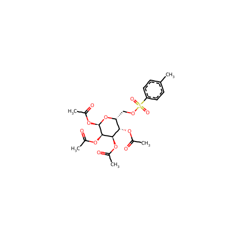 CC(=O)O[C@H]1O[C@H](COS(=O)(=O)c2ccc(C)cc2)[C@H](OC(C)=O)[C@@H](OC(C)=O)[C@H]1OC(C)=O